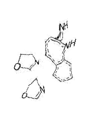 C1=NCCO1.C1=NCCO1.N=c1ccc2ccccc2[nH]1